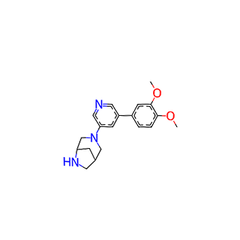 COc1ccc(-c2cncc(N3CC4CNC(C4)C3)c2)cc1OC